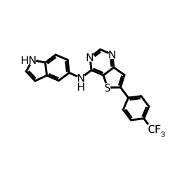 FC(F)(F)c1ccc(-c2cc3ncnc(Nc4ccc5[nH]ccc5c4)c3s2)cc1